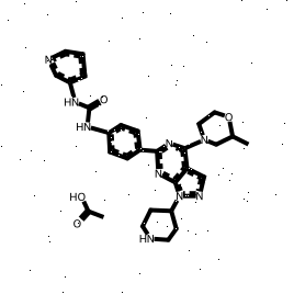 CC(=O)O.CC1CN(c2nc(-c3ccc(NC(=O)Nc4cccnc4)cc3)nc3c2cnn3C2CCNCC2)CCO1